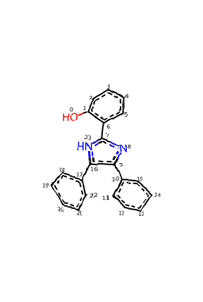 Oc1ccccc1-c1nc(-c2ccccc2)c(-c2ccccc2)[nH]1